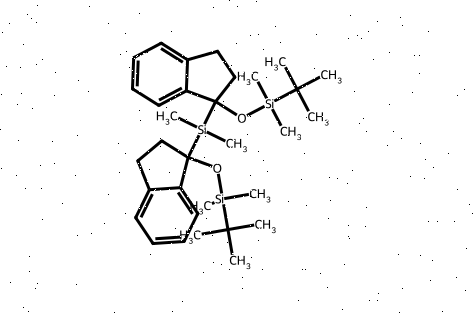 CC(C)(C)[Si](C)(C)OC1([Si](C)(C)C2(O[Si](C)(C)C(C)(C)C)CCc3ccccc32)CCc2ccccc21